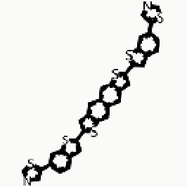 c1ncc(-c2ccc3cc(-c4cc5cc6cc7sc(-c8cc9ccc(-c%10cncs%10)cc9s8)cc7cc6cc5s4)sc3c2)s1